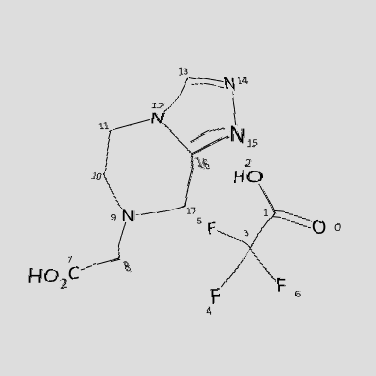 O=C(O)C(F)(F)F.O=C(O)CN1CCn2cnnc2C1